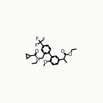 CCOC(=O)C(C)c1ccc(OC)c(-c2ccc(C(F)(F)F)cc2CN(CC)C(=O)C2CC2)c1